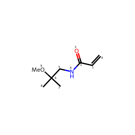 C=CC(=O)NCC(C)(C)OC